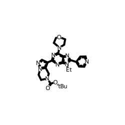 CCn1c(-c2ccncc2)nc2c(N3CCOCC3)nc(-c3cnn4c3CN(C(=O)OC(C)(C)C)CC4)nc21